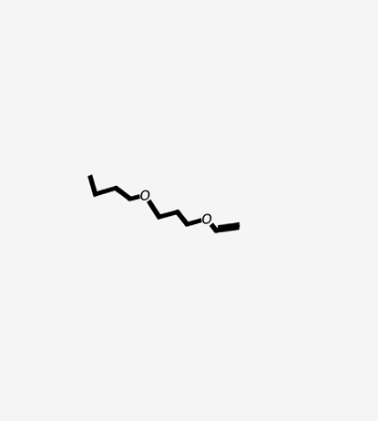 C=COCCCOCCCC